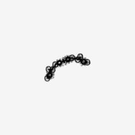 CC(C)(c1ccc(OCCOC(=O)C2CCC3OC3C2)cc1)c1ccc(OCCOC(=O)C2CCC3OC3C2)cc1